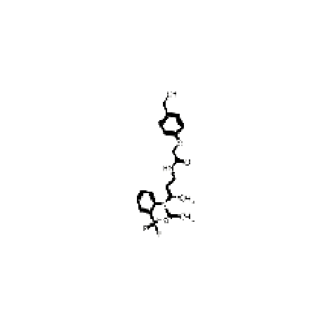 CC(=O)N(c1ccccc1C(F)(F)F)[C@@H](C)CCNC(=O)COc1ccc(CO)cc1